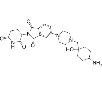 NC1CCC(O)(CN2CCN(c3ccc4c(c3)C(=O)N(C3CCC(=O)NC3=O)C4=O)CC2)CC1